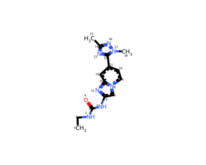 CCNC(=O)Nc1cn2ccc(-c3nc(C)nn3C)cc2n1